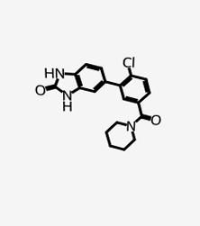 O=C(c1ccc(Cl)c(-c2ccc3[nH]c(=O)[nH]c3c2)c1)N1CCCCC1